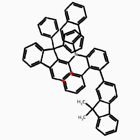 CC1(C)c2ccccc2-c2ccc(-c3cccc(N(c4ccc5ccccc5c4)c4cccc5c4C(c4ccccc4)(c4ccccc4)c4ccccc4-5)c3-c3ccccc3)cc21